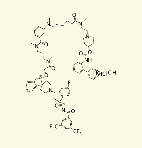 CN(CCN1CCC(OC(=O)Nc2ccccc2-c2ccccc2)CC1)C(=O)CCCCCNc1cccc(C(=O)N(C)CCCN(C)C(=O)CO[C@H]2Cc3ccccc3C23CCN(CC[C@@]2(c4ccc(F)cc4)CN(C(=O)c4cc(C(F)(F)F)cc(C(F)(F)F)c4)CO2)CC3)c1.Cl.Cl.Cl